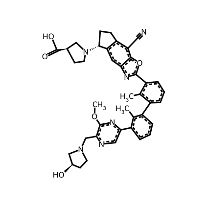 COc1nc(-c2cccc(-c3cccc(-c4nc5cc6c(c(C#N)c5o4)CC[C@H]6N4CC[C@@H](C(=O)O)C4)c3C)c2C)cnc1CN1CC[C@@H](O)C1